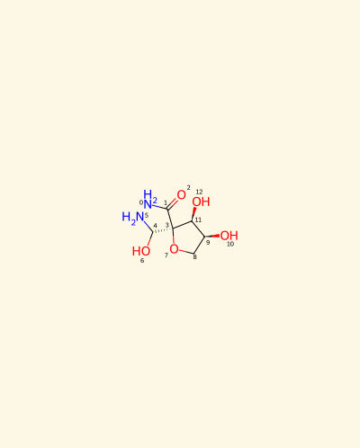 NC(=O)[C@]1(C(N)O)OC[C@H](O)[C@@H]1O